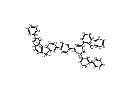 CC1(C)c2cc(-c3ccc(-c4nc(-c5cccc(-c6ccccc6)c5)nc(-c5cccc6c5oc5ccccc56)n4)cc3)ccc2-c2c1ccc1nc(-c3ccccc3)oc21